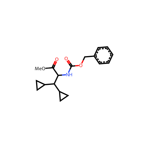 COC(=O)C(NC(=O)OCc1ccccc1)C(C1CC1)C1CC1